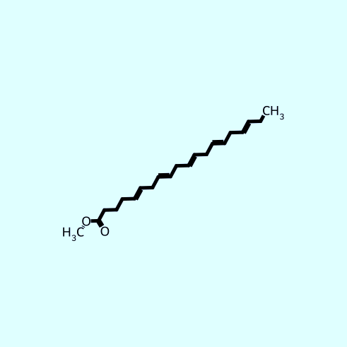 CCC=CCC=CCC=CCC=CCC=CCCCC(=O)OC